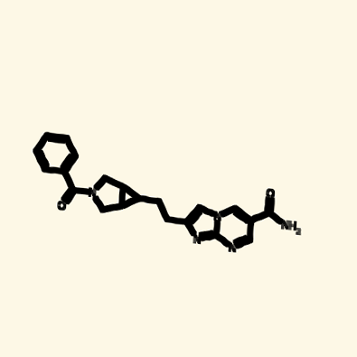 NC(=O)c1cnc2nc(CCC3C4CN(C(=O)c5ccccc5)CC34)cn2c1